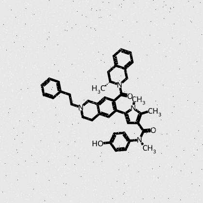 Cc1c(C(=O)N(C)c2ccc(O)cc2)cc(-c2cc3c(cc2C(=O)N2Cc4ccccc4C[C@H]2C)CN(CCc2ccccc2)CC3)n1C